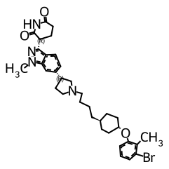 Cc1c(Br)cccc1O[C@H]1CC[C@H](CCCCN2CC[C@H](c3ccc4c([C@H]5CCC(=O)NC5=O)nn(C)c4c3)C2)CC1